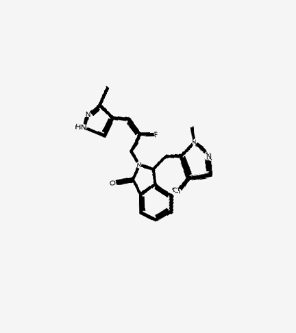 Cc1n[nH]cc1/C=C(/F)CN1C(=O)c2ccccc2C1Cc1c(Cl)cnn1C